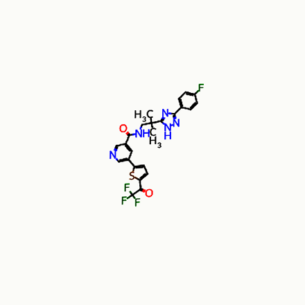 CC(C)(CNC(=O)c1cncc(-c2ccc(C(=O)C(F)(F)F)s2)c1)c1nc(-c2ccc(F)cc2)n[nH]1